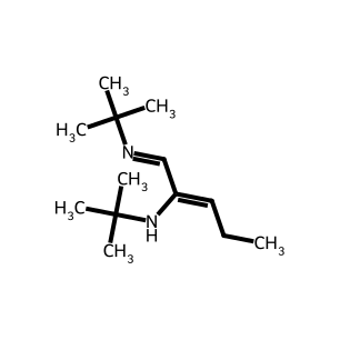 CCC=C(C=NC(C)(C)C)NC(C)(C)C